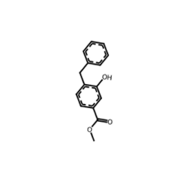 COC(=O)c1ccc(Cc2ccccc2)c(O)c1